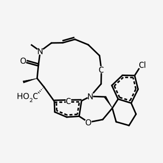 C[C@H]1C(=O)N(C)C/C=C/CCCCN2C[C@@]3(CCCc4cc(Cl)ccc43)COc3ccc(cc32)[C@@H]1C(=O)O